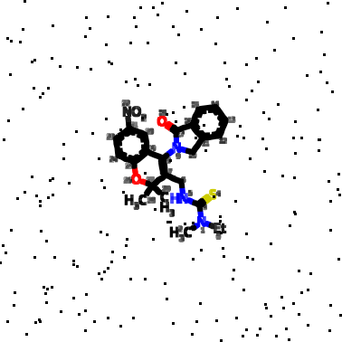 CCN(C)C(=S)NCC1=C(N2Cc3ccccc3C2=O)c2cc([N+](=O)[O-])ccc2OC1(C)C